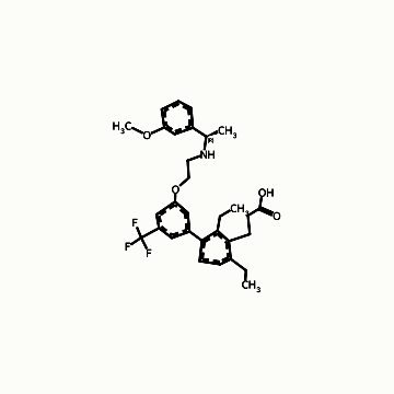 CCc1ccc(-c2cc(OCCN[C@H](C)c3cccc(OC)c3)cc(C(F)(F)F)c2)c(CC)c1CCC(=O)O